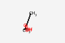 CCCCCCCCCCCCC(=O)OCC(CC)(CO)CO